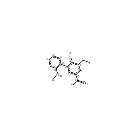 CCc1cc(C(C)=O)cc(-c2ccccc2OC)c1F